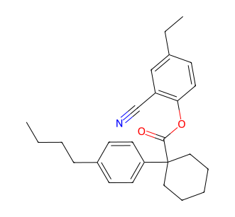 CCCCc1ccc(C2(C(=O)Oc3ccc(CC)cc3C#N)CCCCC2)cc1